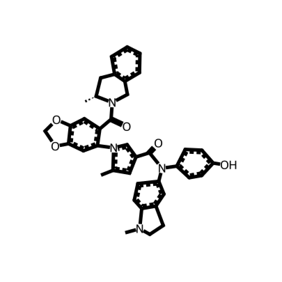 Cc1cc(C(=O)N(c2ccc(O)cc2)c2ccc3c(c2)CCN3C)cn1-c1cc2c(cc1C(=O)N1Cc3ccccc3C[C@H]1C)OCO2